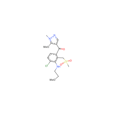 COCCNc1c(Cl)ccc(C(=O)c2cnn(C)c2OC)c1CS(C)(=O)=O